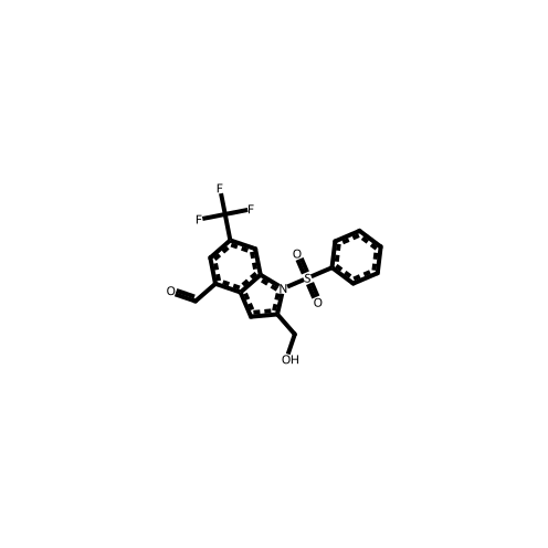 O=Cc1cc(C(F)(F)F)cc2c1cc(CO)n2S(=O)(=O)c1ccccc1